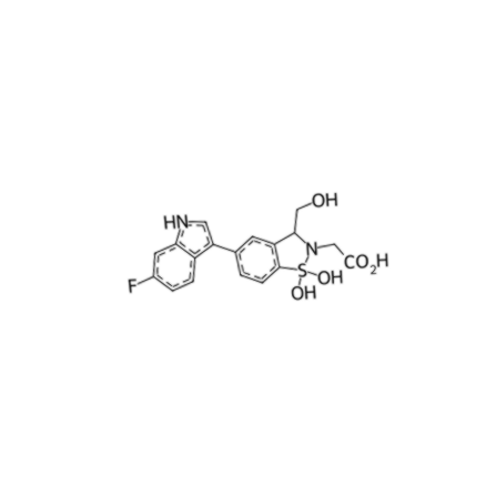 O=C(O)CN1C(CO)c2cc(-c3c[nH]c4cc(F)ccc34)ccc2S1(O)O